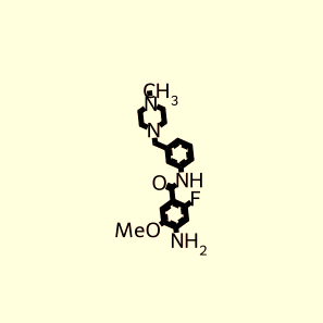 COc1cc(C(=O)Nc2cccc(CN3CCN(C)CC3)c2)c(F)cc1N